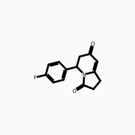 O=C1C=C2CCC(=O)N2C(c2ccc(F)cc2)C1